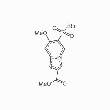 COC(=O)c1cn2cc(S(=O)(=O)C(C)(C)C)c(OC)cc2n1